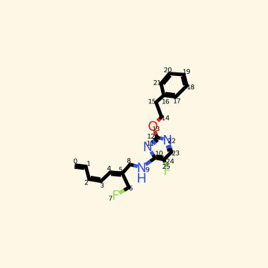 C=C/C=C\C=C(/CF)CNc1nc(OCCc2ccccc2)ncc1F